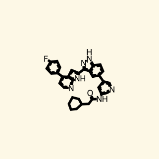 O=C(CC1CCCCC1)Nc1cncc(-c2ccc3[nH]nc(-c4cc5c(-c6ccc(F)cc6)ccnc5[nH]4)c3c2)c1